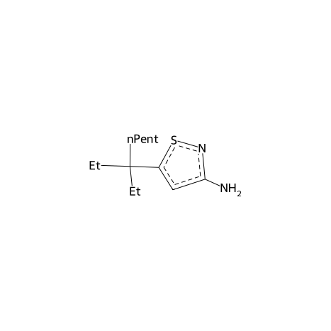 CCCCCC(CC)(CC)c1cc(N)ns1